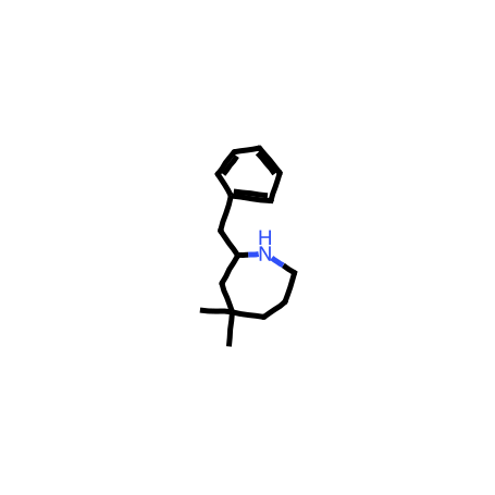 CC1(C)CCCNC(Cc2ccccc2)C1